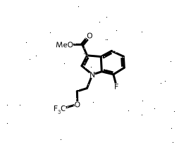 COC(=O)c1cn(CCOC(F)(F)F)c2c(F)cccc12